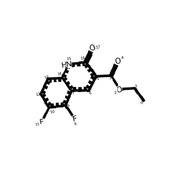 CCOC(=O)c1cc2c(F)c(F)ccc2[nH]c1=O